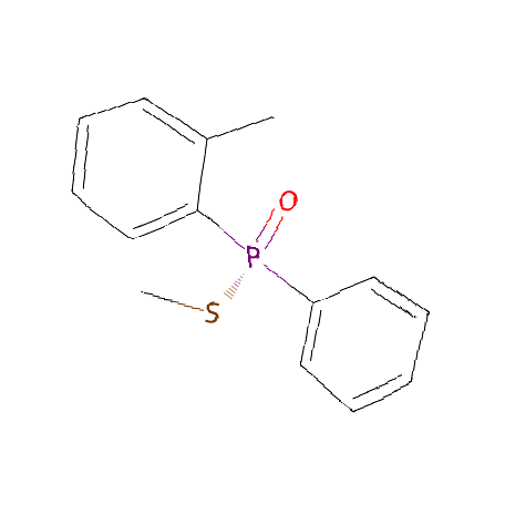 CS[P@](=O)(c1ccccc1)c1ccccc1C